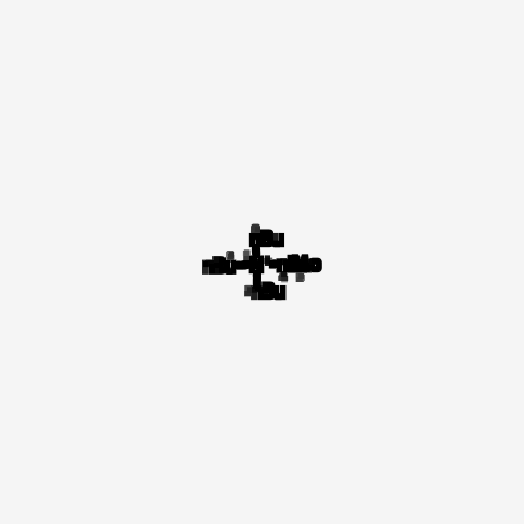 CCCC[N+](CCCC)(CCCC)CCCC.[Mo]